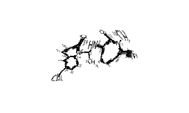 CC(Nc1ccc(C#N)n(C)c1=O)n1c(=O)ccc2cc(Cl)ccc21